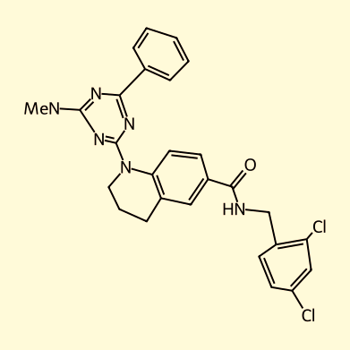 CNc1nc(-c2ccccc2)nc(N2CCCc3cc(C(=O)NCc4ccc(Cl)cc4Cl)ccc32)n1